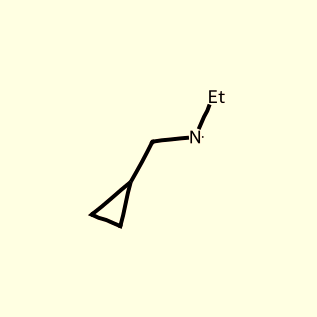 CC[N]CC1CC1